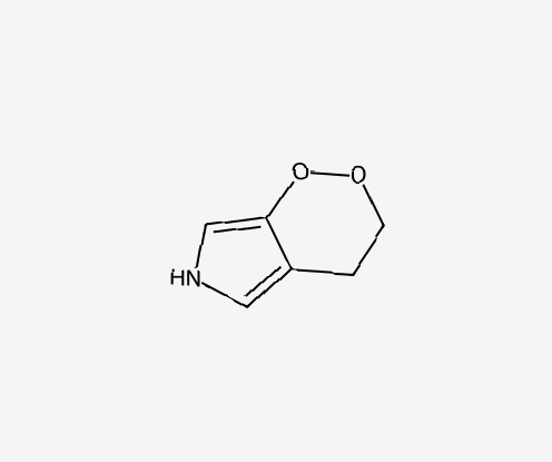 c1[nH]cc2c1CCOO2